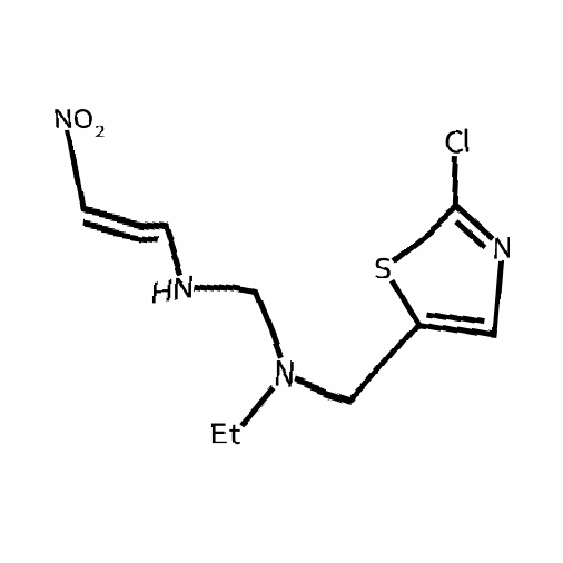 CCN(CNC=C[N+](=O)[O-])Cc1cnc(Cl)s1